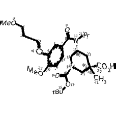 COCCCOc1cc(C(=O)N(C(C)C)[C@H]2CN(C(=O)OC(C)(C)C)C[C@](C)(C(=O)O)C2)ccc1OC